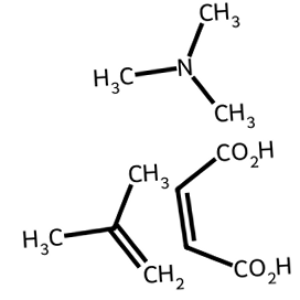 C=C(C)C.CN(C)C.O=C(O)/C=C\C(=O)O